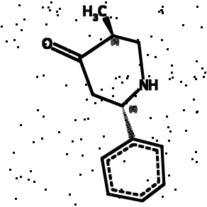 C[C@H]1CN[C@H](c2ccccc2)CC1=O